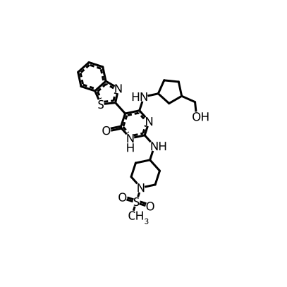 CS(=O)(=O)N1CCC(Nc2nc(NC3CCC(CO)C3)c(-c3nc4ccccc4s3)c(=O)[nH]2)CC1